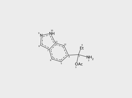 CCC(N)(OC(C)=O)c1ccc2cn[nH]c2c1